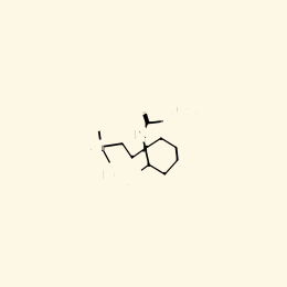 CC(C)(C)OC(=O)NC1(CC[Si](C)(C)C)CCCCC1C(=O)O